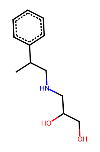 CC(CNCC(O)CO)c1ccccc1